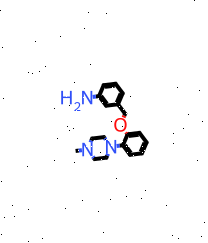 CN1CCN(c2ccccc2OCc2cccc(N)c2)CC1